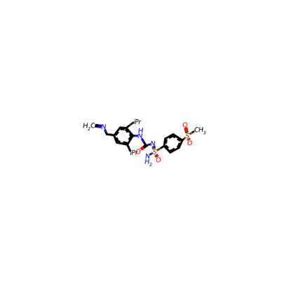 C=NCc1cc(C(C)C)c(NC(=O)N=S(N)(=O)c2ccc(S(C)(=O)=O)cc2)c(C(C)C)c1